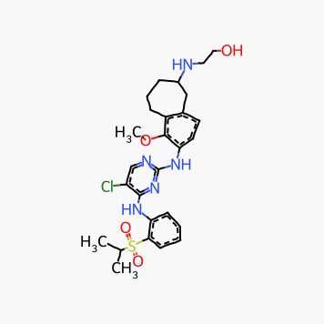 COc1c(Nc2ncc(Cl)c(Nc3ccccc3S(=O)(=O)C(C)C)n2)ccc2c1CCCC(NCCO)C2